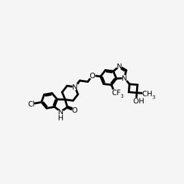 CC1(O)CC(n2cnc3cc(OCCN4CCC5(CC4)C(=O)Nc4cc(Cl)ccc45)cc(C(F)(F)F)c32)C1